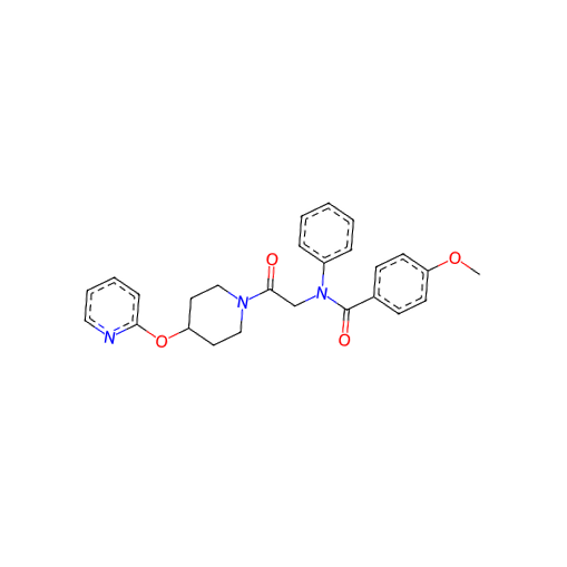 COc1ccc(C(=O)N(CC(=O)N2CCC(Oc3ccccn3)CC2)c2ccccc2)cc1